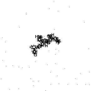 CC1(C)CCC(CN2CCN(c3ccc(C(=O)NS(=O)(=O)c4ccc(NC5CCN(CC(F)(F)F)CC5)c([N+](=O)[O-])c4)c(Oc4cccc5[nH]ccc45)c3)CC2)=C(c2ccc(Cl)cc2)C1